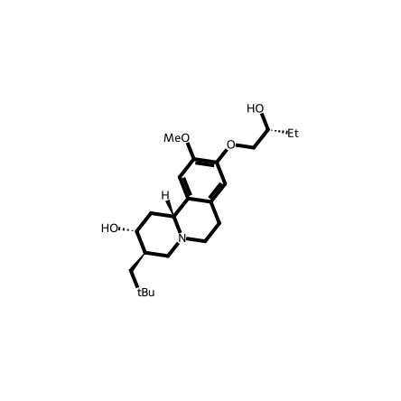 CC[C@@H](O)COc1cc2c(cc1OC)[C@H]1C[C@@H](O)[C@H](CC(C)(C)C)CN1CC2